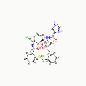 CC[C@@](NC(=O)c1c[nH]cn1)(c1cccc2nc(-c3ccccc3SCc3ccccc3)oc12)[C@H](C)O.Cl